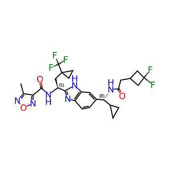 Cc1nonc1C(=O)N[C@@H](CC1(C(F)(F)F)CC1)c1nc2ccc([C@H](NC(=O)CC3CC(F)(F)C3)C3CC3)cc2[nH]1